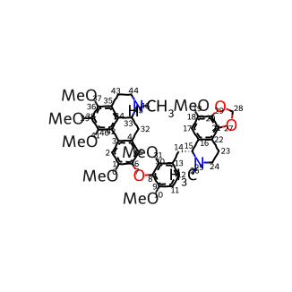 COc1cc2c(cc1Oc1c(OC)ccc(C[C@@H]3c4cc(OC)c5c(c4CCN3C)OCO5)c1OC)C[C@H]1c3c(c(OC)c(OC)c(OC)c3-2)CCN1C